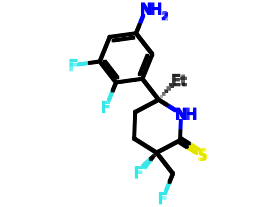 CC[C@@]1(c2cc(N)cc(F)c2F)CC[C@@](F)(CF)C(=S)N1